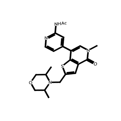 CC(=O)Nc1cc(-c2cn(C)c(=O)c3cc(CN4C(C)COCC4C)sc23)ccn1